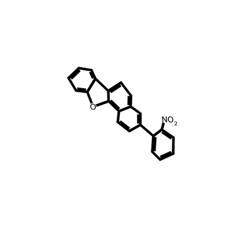 O=[N+]([O-])c1ccccc1-c1ccc2c(ccc3c4ccccc4oc23)c1